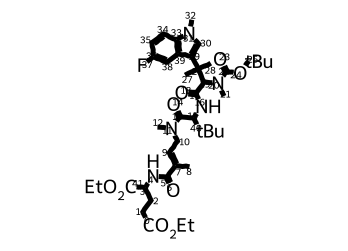 CCOC(=O)CCC(NC(=O)/C(C)=C/CN(C)C(=O)C(NC(=O)C(N(C)C(=O)OC(C)(C)C)C(C)(C)c1cn(C)c2ccc(F)cc12)C(C)(C)C)C(=O)OCC